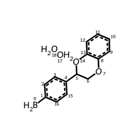 Bc1ccc(C2COc3ccccc3O2)cc1.O.O